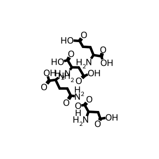 NC(=O)CCC(N)C(=O)O.NC(CC(=O)O)C(=O)O.NC(CC(=O)O)C(=O)O.NC(CCC(=O)O)C(=O)O